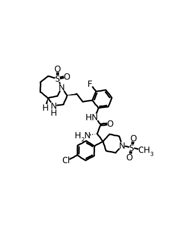 CS(=O)(=O)N1CCC(c2ccc(Cl)cc2)([C@H](N)C(=O)Nc2cccc(F)c2CC[C@H]2CN[C@@H]3CCCS(=O)(=O)N2C3)CC1